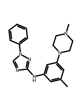 Cc1cc(Nc2ncn(-c3ccccc3)n2)cc(N2CCN(C)CC2)c1